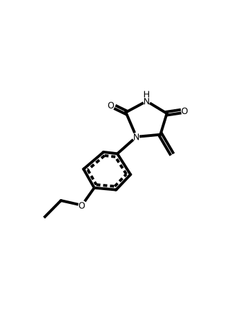 C=C1C(=O)NC(=O)N1c1ccc(OCC)cc1